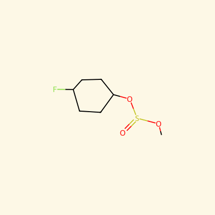 COS(=O)OC1CCC(F)CC1